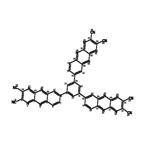 N#Cc1nc2nc3ccc(-c4cc(-c5ccc6nc7nc(C#N)c(C#N)nc7nc6c5)cc(-c5ccc6nc7nc(C#N)c(C#N)nc7nc6c5)c4)cc3nc2nc1C#N